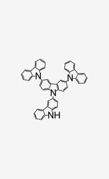 c1ccc2c(c1)[nH]c1ccc(-n3c4ccc(-n5c6ccccc6c6ccccc65)cc4c4cc(-n5c6ccccc6c6ccccc65)ccc43)cc12